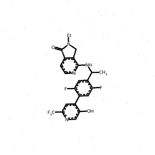 CCN1Cc2c(ccnc2NC(C)c2cc(F)c(-c3cc(C(F)(F)F)ncc3O)cc2F)C1=O